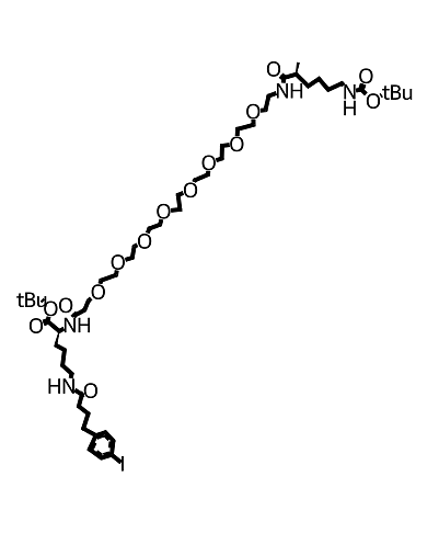 C[C@@H](CCCCNC(=O)OC(C)(C)C)C(=O)NCCOCCOCCOCCOCCOCCOCCOCCOCCC(=O)N[C@@H](CCCCNC(=O)CCCc1ccc(I)cc1)C(=O)OC(C)(C)C